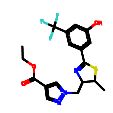 CCOC(=O)c1cnn(CC2N=C(c3cc(O)cc(C(F)(F)F)c3)SC2C)c1